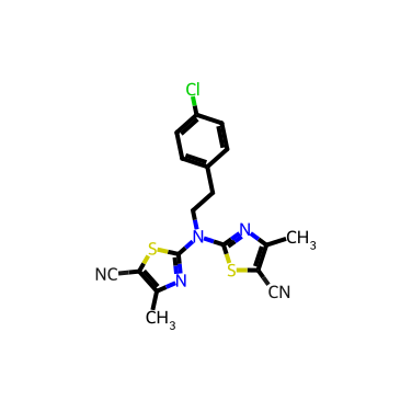 Cc1nc(N(CCc2ccc(Cl)cc2)c2nc(C)c(C#N)s2)sc1C#N